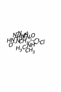 CC(C)NC[C@@H](C(=O)N1CCN(c2ncnc3c2N(C)CC(=O)N3)[C@H]2CC21C)c1ccc(Cl)cc1